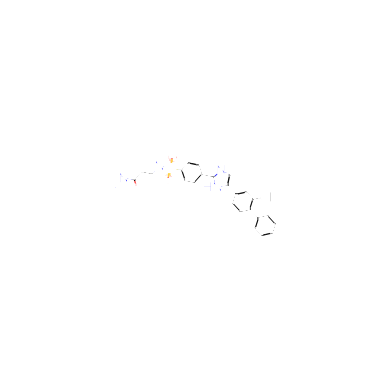 NC(=O)CCNS(=O)(=O)c1ccc(-c2ncc(-c3ccc(-c4ccccc4)c(C(F)(F)F)c3)[nH]2)cc1